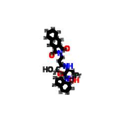 CC(C)C[C@H](N[C@H](CCN1C(=O)c2cc3ccccc3cc2C1=O)C(=O)O)C(=O)NC12CCC=C1CC=C[C@H]2O